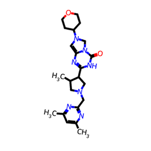 Cc1cc(C)nc(CN2CC(C)C(C3=NC4=CN(C5CCOCC5)CN4C(=O)N3)C2)n1